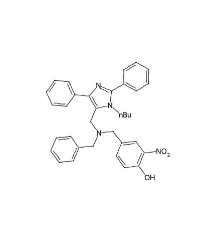 CCCCn1c(-c2ccccc2)nc(-c2ccccc2)c1CN(Cc1ccccc1)Cc1ccc(O)c([N+](=O)[O-])c1